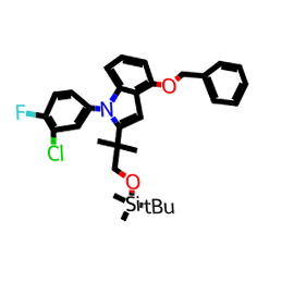 CC(C)(CO[Si](C)(C)C(C)(C)C)c1cc2c(OCc3ccccc3)cccc2n1-c1ccc(F)c(Cl)c1